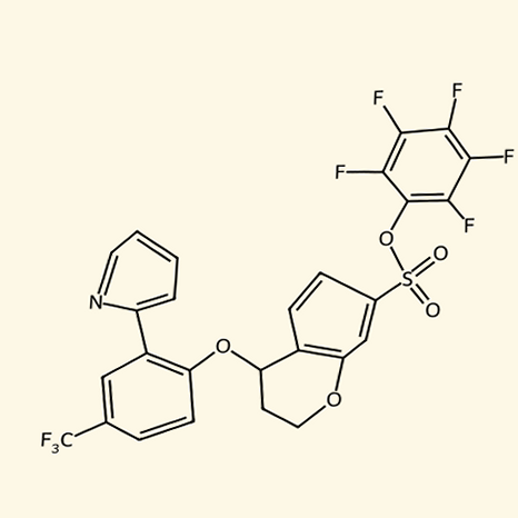 O=S(=O)(Oc1c(F)c(F)c(F)c(F)c1F)c1ccc2c(c1)OCCC2Oc1ccc(C(F)(F)F)cc1-c1ccccn1